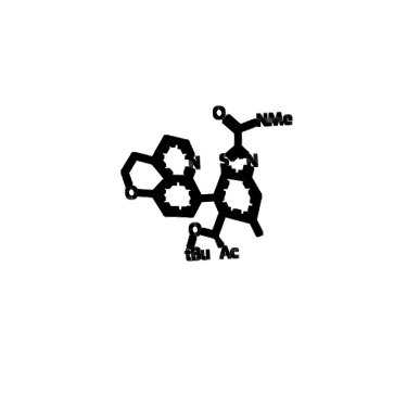 CNC(=O)c1nc2cc(C)c([C@H](OC(C)(C)C)C(C)=O)c(-c3ccc4c5c(ccnc35)CCO4)c2s1